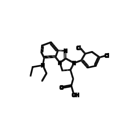 CCN(CC)c1cccc2nc3n(c12)CC(CC(=O)O)N3C1=CC=C(Cl)CC1Cl